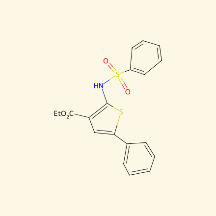 CCOC(=O)c1cc(-c2ccccc2)sc1NS(=O)(=O)c1ccccc1